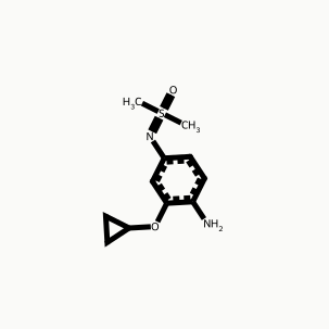 CS(C)(=O)=Nc1ccc(N)c(OC2CC2)c1